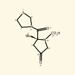 CC(C)(C)[C@]1(C(=O)N2CCSC2)CC(=O)CN1C(=O)O